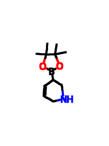 CC1(C)OB(C2C=CCNC2)OC1(C)C